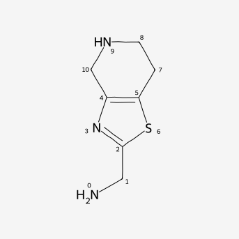 NCc1nc2c(s1)CCNC2